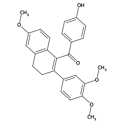 COc1ccc2c(c1)CCC(c1ccc(OC)c(OC)c1)=C2C(=O)c1ccc(O)cc1